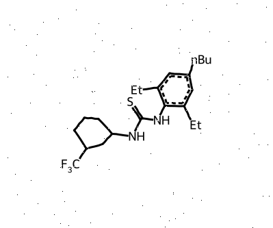 CCCCc1cc(CC)c(NC(=S)NC2CCCC(C(F)(F)F)C2)c(CC)c1